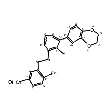 Cc1c(CCc2cc(C=O)ccc2F)cccc1-c1ccc2c(c1)OCCO2